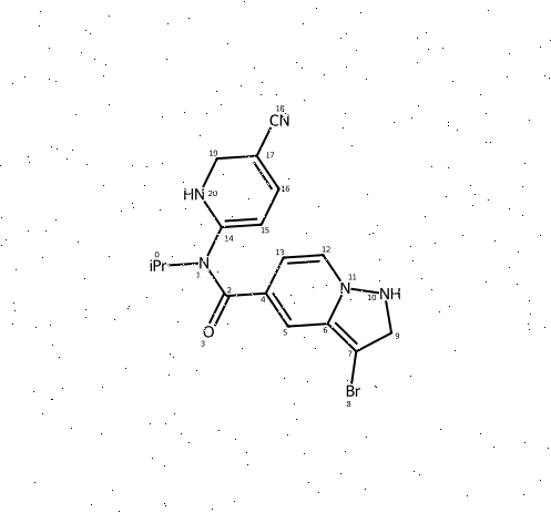 CC(C)N(C(=O)C1=CC2=C(Br)CNN2C=C1)C1=CC=C(C#N)CN1